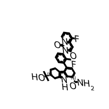 Cc1c(C2=C(F)C[C@H](C(N)=O)c3[nH]c4c(c32)CC[C@H](C(C)(C)O)C4)cccc1-n1c(=O)cc2c(F)cccn2c1=O